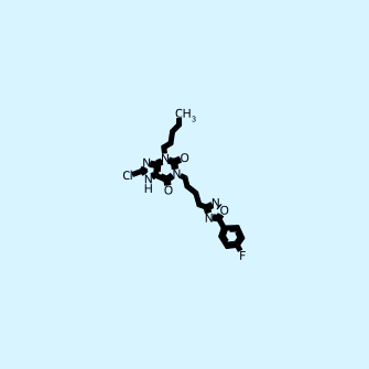 CCCCCn1c(=O)n(CCCCc2noc(-c3ccc(F)cc3)n2)c(=O)c2[nH]c(Cl)nc21